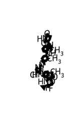 C[C@H]1CC2(CC[C@H]1Nc1cccc3c(C4CCC(=O)NC4=O)nn(C)c13)CN(c1ncc(Cl)c(Nc3ccc4c(c3)c3c(c(=O)n4C)OCC(F)(F)[C@H](C4CC4)N3)n1)C2